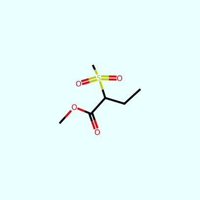 CCC(C(=O)OC)S(C)(=O)=O